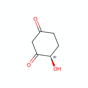 O=C1CC[C@@H](O)C(=O)C1